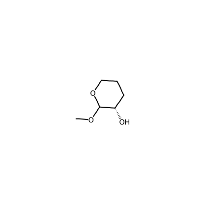 COC1OCCC[C@@H]1O